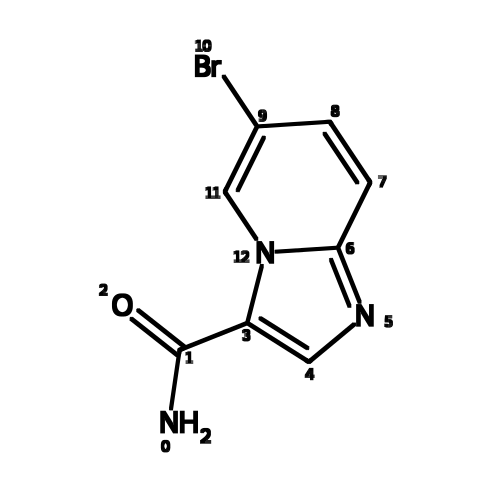 NC(=O)c1cnc2ccc(Br)cn12